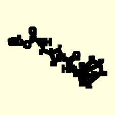 CC(C)(C)OC(=O)NCC1CN(C(=O)NC2C3CC4CC(C3)CC2C4)C1